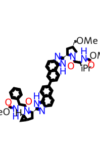 COC[C@H]1C[C@@H](c2nc3ccc4cc(-c5ccc6c(ccc7nc([C@@H]8CC9C[C@H]9N8C(=O)[C@H](NC(=O)OC)c8ccccc8)[nH]c76)c5)ccc4c3[nH]2)N(C(=O)[C@@H](NC(=O)OC)C(C)C)C1